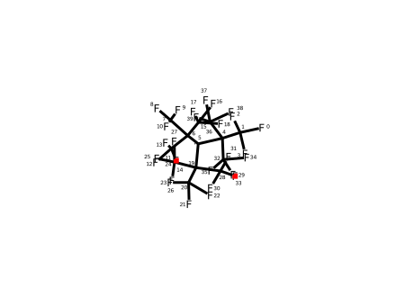 FC(F)(F)C([C](C(C(F)(F)F)(C(F)(F)F)C(F)(F)F)C(C(F)(F)F)(C(F)(F)F)C(F)(F)F)(C(F)(F)F)C(F)(F)F